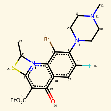 CCOC(=O)c1c2n(c3c(Br)c(N4CCN(C)CC4)c(F)cc3c1=O)C(C)S2